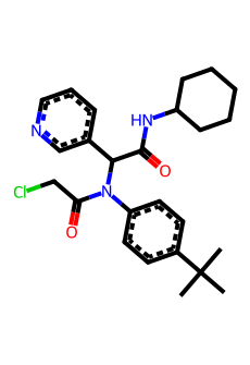 CC(C)(C)c1ccc(N(C(=O)CCl)C(C(=O)NC2CCCCC2)c2cccnc2)cc1